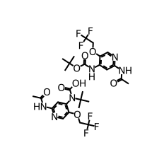 CC(=O)Nc1cc(N(C(=O)O)C(C)(C)C)c(OCC(F)(F)F)cn1.CC(=O)Nc1cc(NC(=O)OC(C)(C)C)c(OCC(F)(F)F)cn1